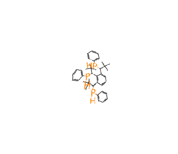 CC(C)(C)C(Pc1ccccc1)c1cccc(C(Pc2ccccc2)C(C)(C)C)c1C(Pc1ccccc1)C(C)(C)C